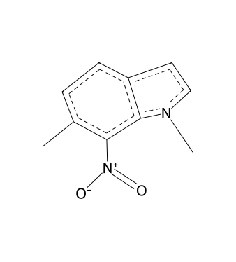 Cc1ccc2ccn(C)c2c1[N+](=O)[O-]